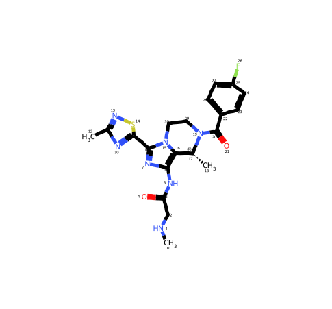 CNCC(=O)Nc1nc(-c2nc(C)ns2)n2c1[C@@H](C)N(C(=O)c1ccc(F)cc1)CC2